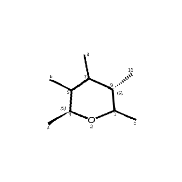 CC1O[C@@H](C)C(C)C(C)[C@@H]1C